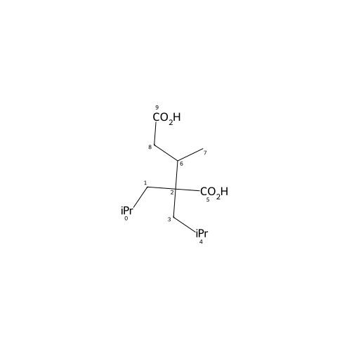 CC(C)CC(CC(C)C)(C(=O)O)C(C)CC(=O)O